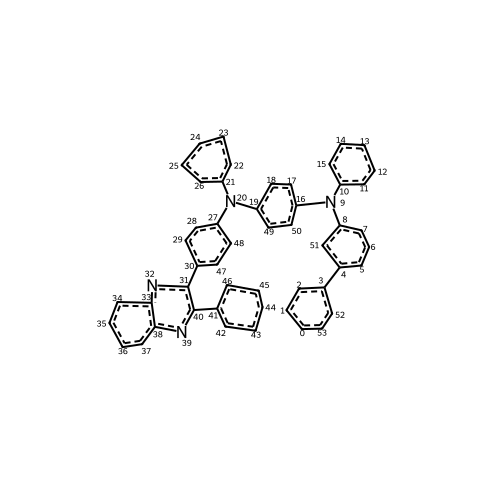 c1ccc(-c2cccc(N(c3ccccc3)c3ccc(N(c4ccccc4)c4ccc(-c5nc6ccccc6nc5-c5ccccc5)cc4)cc3)c2)cc1